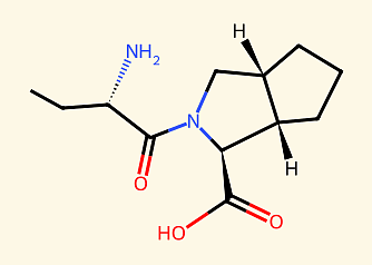 CC[C@H](N)C(=O)N1C[C@@H]2CCC[C@@H]2[C@H]1C(=O)O